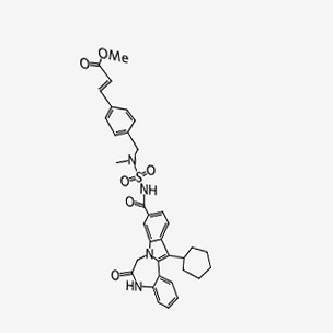 COC(=O)/C=C/c1ccc(CN(C)S(=O)(=O)NC(=O)c2ccc3c(C4CCCCC4)c4n(c3c2)CC(=O)Nc2ccccc2-4)cc1